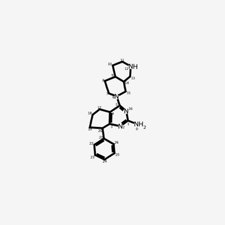 Nc1nc2c(c(N3CCC4CCNCC4C3)n1)CCCC2c1ccccc1